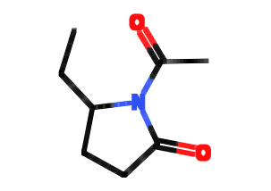 CCC1CCC(=O)N1C(C)=O